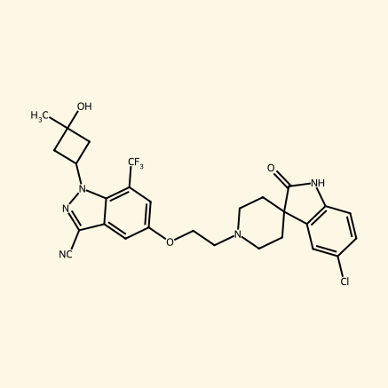 CC1(O)CC(n2nc(C#N)c3cc(OCCN4CCC5(CC4)C(=O)Nc4ccc(Cl)cc45)cc(C(F)(F)F)c32)C1